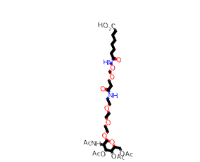 CC(=O)NC1C(OCCOCCOCCNC(=O)CCOCONC(=O)CCCCCCC(=O)O)OC(COC(C)=O)C(OC(C)=O)C1OC(C)=O